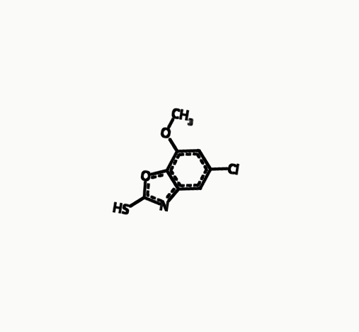 COc1cc(Cl)cc2nc(S)oc12